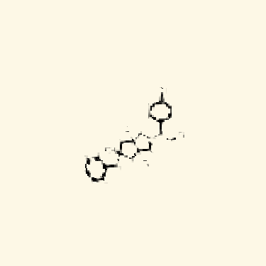 OC[C@@H](c1ccc(O)cc1)N1C[C@@H]2CC(O)(Cc3ccccc3)C[C@@H]2C1